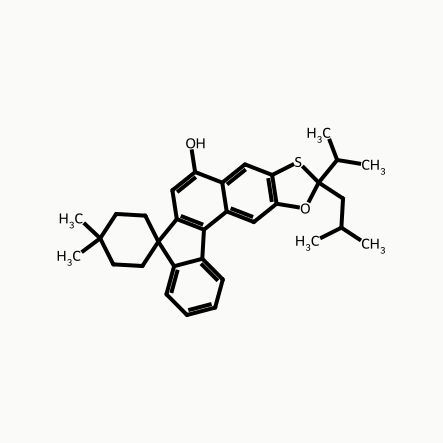 CC(C)CC1(C(C)C)Oc2cc3c4c(cc(O)c3cc2S1)C1(CCC(C)(C)CC1)c1ccccc1-4